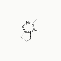 Cc1ncc2c(c1C)CCC2